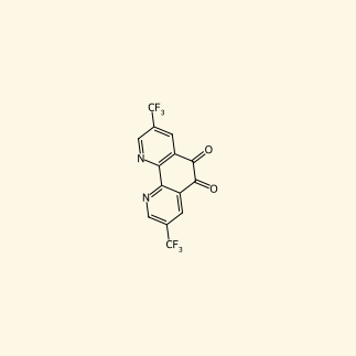 O=C1C(=O)c2cc(C(F)(F)F)cnc2-c2ncc(C(F)(F)F)cc21